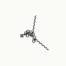 CCCCCCCCCCCC(=O)OC[C@H](COP(=O)([O-])OCC[N+](C)(C)C)OC(=O)CCCCCCCCCCC